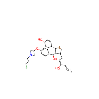 C=C/C(O)=C\CC1CSC([C@H]2C=C[C@@H](O)CC2)[C@@H]1[C@@H](O)[C@H]1C=CC(OC2CN(CCCF)C2)=CC1